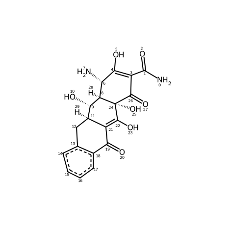 NC(=O)C1=C(O)[C@@H](N)[C@@H]2[C@@H](O)[C@@H]3Cc4ccccc4C(=O)C3=C(O)[C@]2(O)C1=O